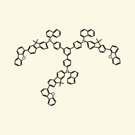 CC1(C)c2cc(-c3cccc4c3oc3ccccc34)ccc2-c2ccc(N(c3ccc(-c4cc(-c5ccc(N(c6ccc7c(c6)C(C)(C)c6cc(-c8cccc9c8oc8ccccc89)ccc6-7)c6cccc7ccccc67)cc5)cc(-c5ccc(N(c6ccc7c(c6)C(C)(C)c6cc(-c8cccc9c8oc8ccccc89)ccc6-7)c6cccc7ccccc67)cc5)c4)cc3)c3cccc4ccccc34)cc21